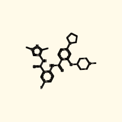 Cc1nn(C)cc1NC(=O)c1cc(F)ccc1NC(=O)c1ccc(N2CCCC2)cc1OC1CCN(C)CC1